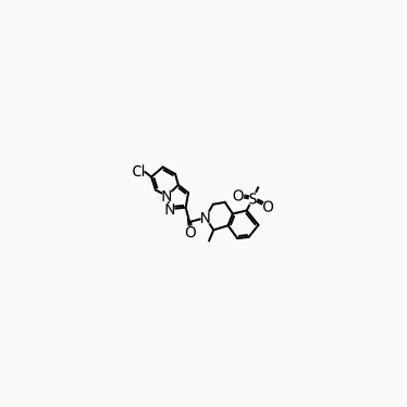 CC1c2cccc(S(C)(=O)=O)c2CCN1C(=O)c1cc2ccc(Cl)cn2n1